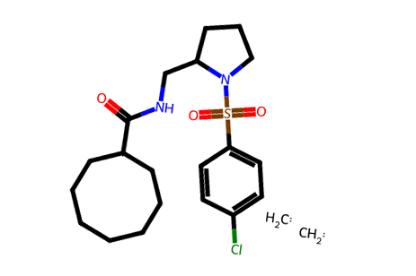 O=C(NCC1CCCN1S(=O)(=O)c1ccc(Cl)cc1)[C]1CCCCCCC1.[CH2].[CH2]